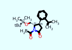 BC(=O)N1C(=O)C[C@H](c2ccccc2C(=C)C)[C@H]1CO[Si](C)(C)C(C)(C)C